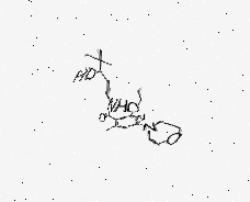 CCOc1nc(N2CCOCC2)cc(C)c1C(=O)NCCC(O)C(C)(C)C